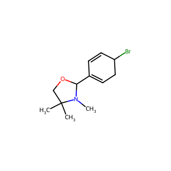 CN1C(C2=CCC(Br)C=C2)OCC1(C)C